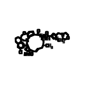 CO[C@H]1/C=C/C[C@H](C)C[S@@](=O)(NC(=O)c2cc(CN3CCOCC3)n(C)c2)=NC(=O)c2ccc3c(c2)N(C[C@@H]2CC[C@H]21)C[C@@]1(CCCc2cc(Cl)ccc21)CO3